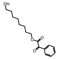 O=C(OCCCCCCCCO)C(=O)c1ccccc1